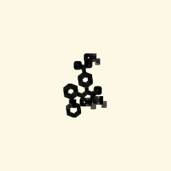 COC(=O)c1ccc(C(C(N)=O)C(C)c2ccccc2N2CCCCC2)cc1